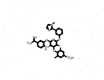 CCOC(=O)c1cc(C)c(Oc2c(F)c(Oc3cccc(-c4nccn4C)c3)nc(Oc3cc(C(=N)N)ccc3O)c2F)c(C)c1